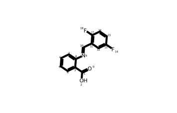 O=C(O)c1ccccc1N=Cc1cc(F)ccc1F